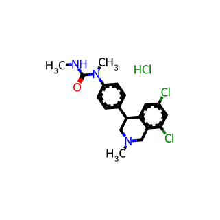 CNC(=O)N(C)c1ccc(C2CN(C)Cc3c(Cl)cc(Cl)cc32)cc1.Cl